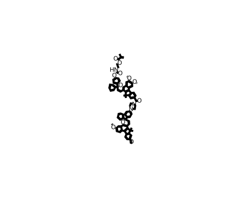 C=C(C)C(=O)OCCNC(=O)Oc1ccc(C2(c3ccccc3)C=Cc3c4c(c5cc(OC)c(OC)cc5c3O2)-c2ccc(C(=O)N3CCN(c5ccc(C6(c7ccccc7)C=Cc7c8c(c9ccc(OC)cc9c7O6)-c6ccc(OC)cc6C8(C)C)cc5)CC3)cc2C4(C)C)cc1